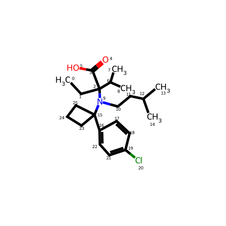 CCC(C(=O)O)(C(C)C)N(CCC(C)C)C1(c2ccc(Cl)cc2)CCC1